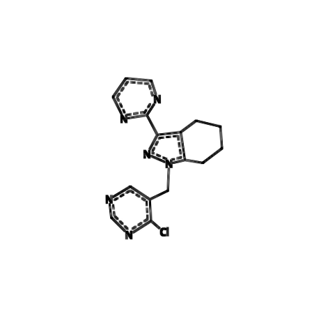 Clc1ncncc1Cn1nc(-c2ncccn2)c2c1CCCC2